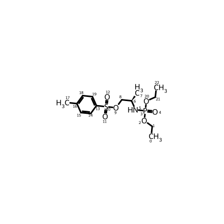 CCOP(=O)(N[C@H](C)COS(=O)(=O)c1ccc(C)cc1)OCC